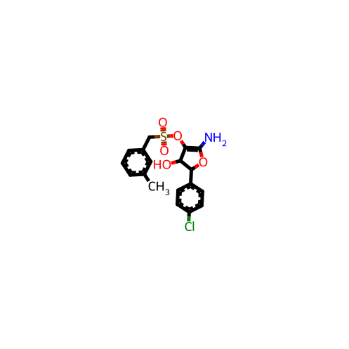 Cc1cccc(CS(=O)(=O)OC2=C(N)OC(c3ccc(Cl)cc3)C2O)c1